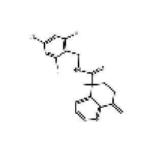 C=C1CCC(F)(C(=O)NCc2c(F)cc(Cl)cc2Cl)c2cccnc21